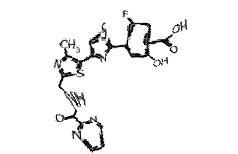 Cc1nc(CNC(=O)c2ncccn2)sc1-c1csc(-c2cc(O)c(C(=O)O)cc2F)n1